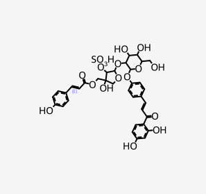 O=C(/C=C/c1ccc(O)cc1)OCC1(O)COC(OC2C(Oc3ccc(C=CC(=O)c4ccc(O)cc4O)cc3)OC(CO)C(O)C2O)C1OS(=O)(=O)O